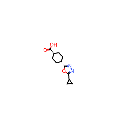 O=C(O)[C@H]1CC[C@H](c2nnc(C3CC3)o2)CC1